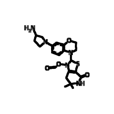 CC1(C)CC2=C(SC(N3CCOc4cc(N5CCC(N)C5)ccc43)N2OC=O)C(=O)N1